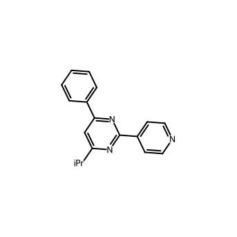 CC(C)c1cc(-c2ccccc2)nc(-c2ccncc2)n1